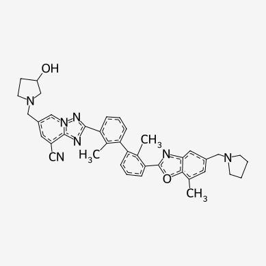 Cc1c(-c2nc3c(C#N)cc(CN4CCC(O)C4)cn3n2)cccc1-c1cccc(-c2nc3cc(CN4CCCC4)cc(C)c3o2)c1C